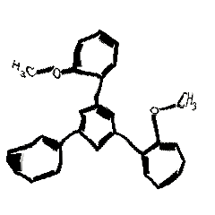 COc1ccccc1-c1cc(-c2ccccc2)cc(-c2ccccc2OC)c1